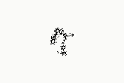 N#Cc1cscc1-c1ccc(OCCCc2sc(N3CCc4cccc(C(=O)Nc5nc6ccccc6s5)c4C3)nc2COO)cc1